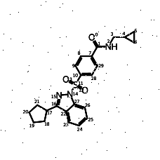 O=C(NCC1CC1)c1ccc(S(=O)(=O)n2nc(C3CCCC3)c3ccccc32)cc1